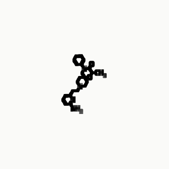 CC1OC2(CCN(CCc3cccc(N)n3)CC2)CN(c2ccccc2)C1=O